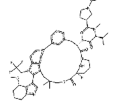 C=CC(=O)N1CC[C@H](C(=O)N(C)[C@H](C(=O)N[C@H]2Cc3cccc(c3)-c3ccc4c(c3)c(c(-c3cnn5c3[C@@H](OC)CCC5)n4CC(F)(F)F)CC(C)(C)COC(=O)[C@@H]3CCCN(N3)C2=O)C(C)C)C1